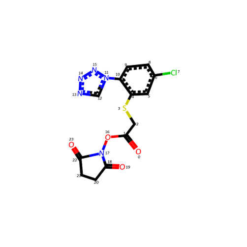 O=C(CSc1cc(Cl)ccc1-n1cnnn1)ON1C(=O)CCC1=O